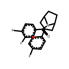 O=C(c1ccc(F)c(F)c1)N1C2CCC1CC(c1ccc(F)cc1)C2